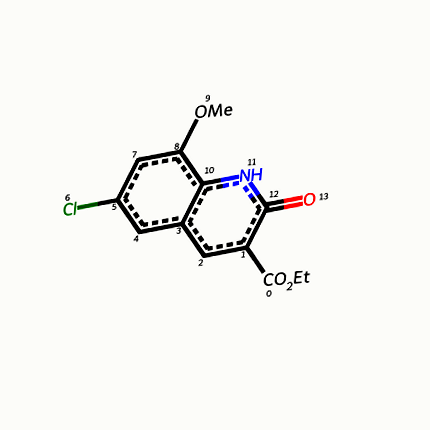 CCOC(=O)c1cc2cc(Cl)cc(OC)c2[nH]c1=O